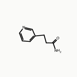 NC(=O)CCc1cccnc1